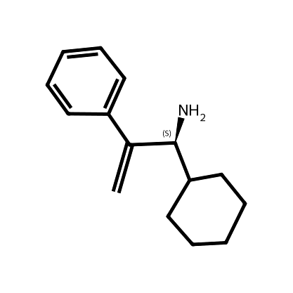 C=C(c1ccccc1)[C@@H](N)C1CCCCC1